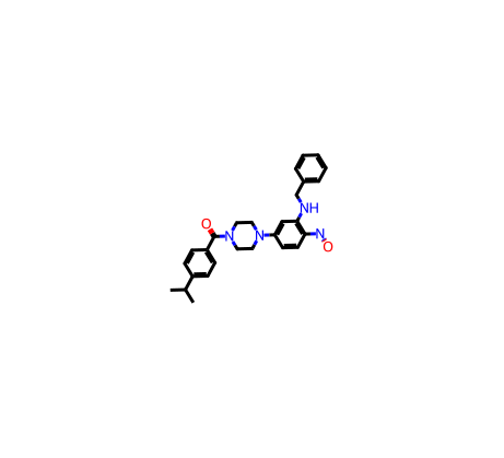 CC(C)c1ccc(C(=O)N2CCN(c3ccc(N=O)c(NCc4ccccc4)c3)CC2)cc1